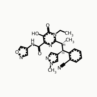 CCn1c([C@H](C)[C@H](c2cnn(C)c2)c2ccccc2C#N)nc(C(=O)Nc2cnoc2)c(O)c1=O